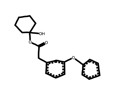 O=C(Cc1cccc(Oc2ccccc2)c1)OC1(O)CCCCC1